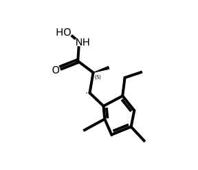 CCc1cc(C)cc(C)c1[CH][C@H](C)C(=O)NO